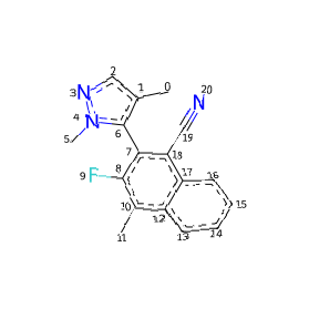 Cc1cnn(C)c1-c1c(F)c(C)c2ccccc2c1C#N